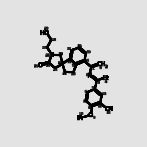 C=C(/N=C(\CC)c1ccc(OC(C)C)c(C#N)c1)c1cccc2c1CCC21CC(=O)N(CCO)C1